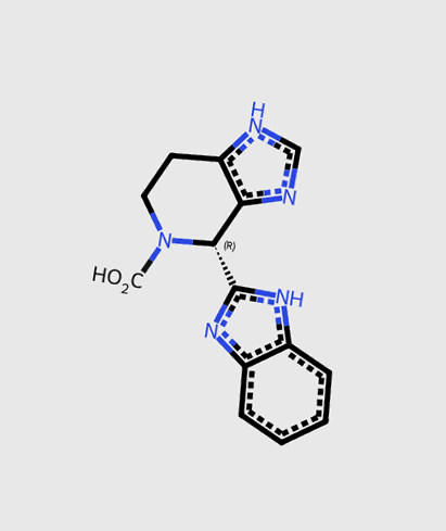 O=C(O)N1CCc2[nH]cnc2[C@@H]1c1nc2ccccc2[nH]1